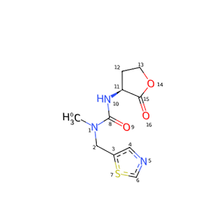 CN(Cc1cncs1)C(=O)N[C@H]1CCOC1=O